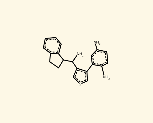 Nc1ccc(N)c(-c2cscc2C(N)C2CCc3ccccc32)c1